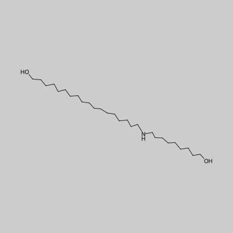 OCCCCCCCCCCCCCCCCCCNCCCCCCCCCO